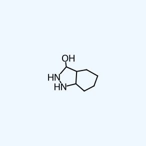 OC1NNC2CCCCC12